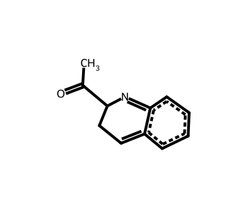 CC(=O)C1CC=c2ccccc2=N1